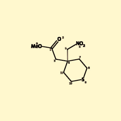 COC(=O)CC1(C[N+](=O)[O-])CCSCC1